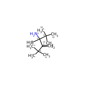 BC(N)(C(=C)C(C)(C)C)C(C)(C)C